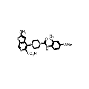 COc1ccc(NC(=O)N2CCN(c3c(C(=O)O)ncc4sc(N)cc34)CC2)c(C)c1